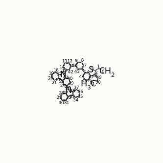 C=CC1Sc2c(-c3cccc(-c4cccc(-n5c6ccccc6c6cc(-n7c8ccccc8c8ccccc87)ccc65)c4)c3)cccc2C1/C=C\C